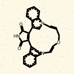 O=C1NC(=O)C2=C1c1cn(c3ccccc13)/C=C/CO/C=C/n1cc2c2ccccc21